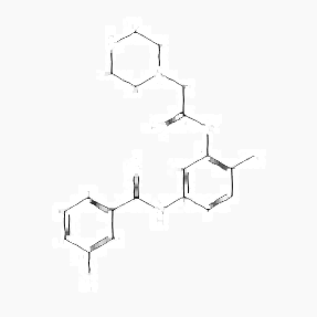 Cc1ccc(NC(=O)c2cccc(I)c2)cc1NC(=O)CN1CCOCC1